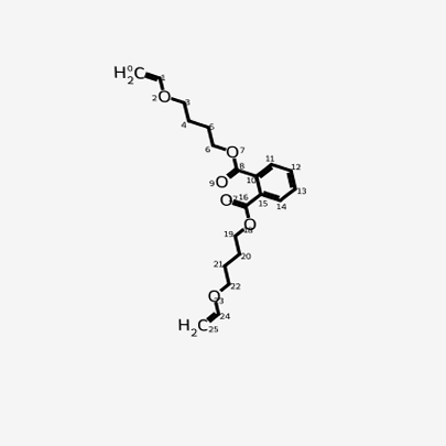 C=COCCCCOC(=O)c1ccccc1C(=O)OCCCCOC=C